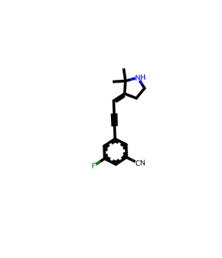 CC1(C)NCC/C1=C\C#Cc1cc(F)cc(C#N)c1